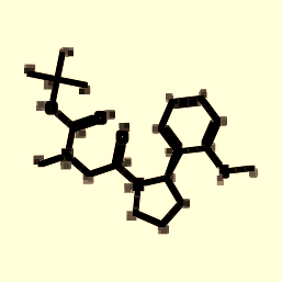 CSc1ccccc1[C@H]1CCCN1C(=O)CN(C)C(=O)OC(C)(C)C